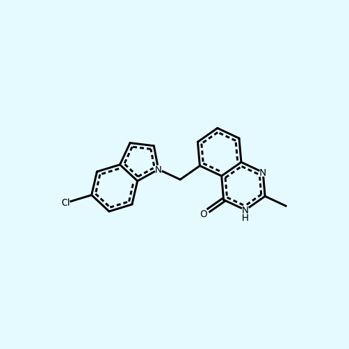 Cc1nc2cccc(Cn3ccc4cc(Cl)ccc43)c2c(=O)[nH]1